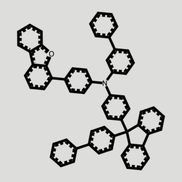 c1ccc(-c2ccc(C3(c4ccc(N(c5ccc(-c6cccc7c6oc6ccccc67)cc5)c5cccc(-c6ccccc6)c5)cc4)c4ccccc4-c4ccccc43)cc2)cc1